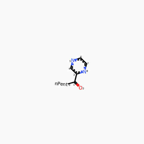 CCCCCC(=O)c1cnccn1